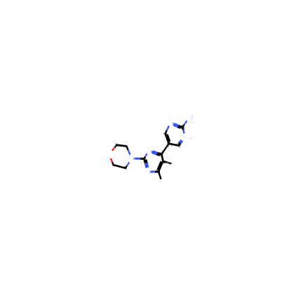 CCCCCc1c(C)nc(N2CCOCC2)nc1-c1cnc(N)nc1